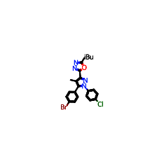 CCC(C)c1nnc(-c2nn(-c3ccc(Cl)cc3)c(-c3ccc(Br)cc3)c2C)o1